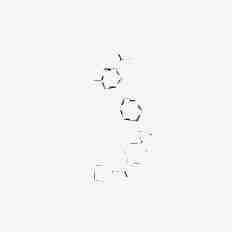 COc1cc(C(=O)O)cc(-c2ccc([C@H]3CC34CCN(C(=O)C3CCCO3)CC4)cc2)c1F